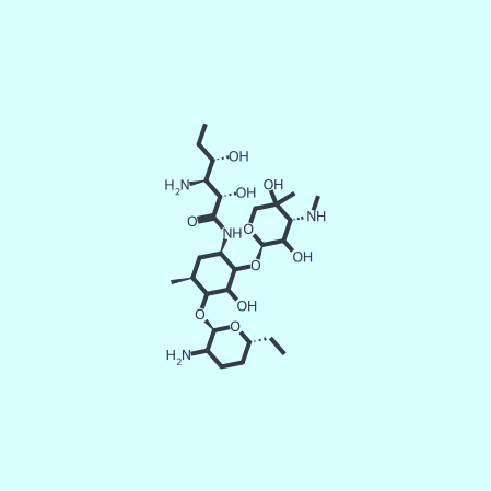 CC[C@@H]1CCC(N)[C@@H](OC2C(O)C(O[C@H]3OCC(C)(O)[C@H](NC)C3O)[C@H](NC(=O)[C@@H](O)[C@@H](N)[C@@H](O)CC)C[C@@H]2C)O1